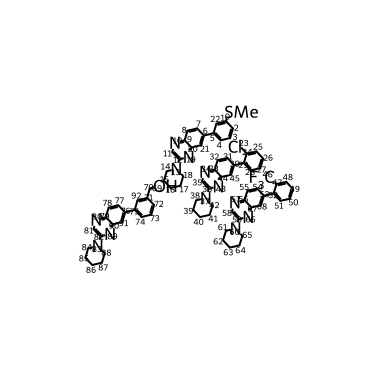 CSc1cccc(-c2ccc3ncc(N4CCCCC4)nc3c2)c1.Clc1ccccc1-c1ccc2ncc(N3CCCCC3)nc2c1.FC(F)(F)c1ccccc1-c1ccc2ncc(N3CCCCC3)nc2c1.OCc1cccc(-c2ccc3ncc(N4CCCCC4)nc3c2)c1